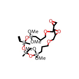 C=C[Si](C)(O[Si](C)(C)O[Si](CCCOCC1CO1)(OC)OC)O[Si](CCCOCC1CO1)(OC)OC